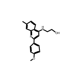 COc1ccc(-c2cc(NCCO)c3ccc(C)cc3n2)cc1